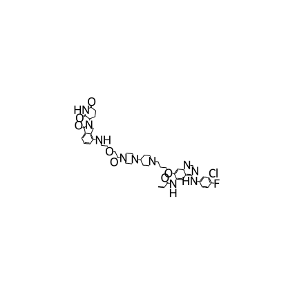 C=CC(=O)Nc1cc2c(Nc3ccc(F)c(Cl)c3)ncnc2cc1OCCCN1CCC(N2CCN(C(=O)COCCNc3cccc4c3CN(C3CCC(=O)NC3=O)C4=O)CC2)CC1